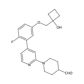 O=CC1CCN(c2cc(-c3cc(OCC4(O)CCC4)ccc3F)ccn2)CC1